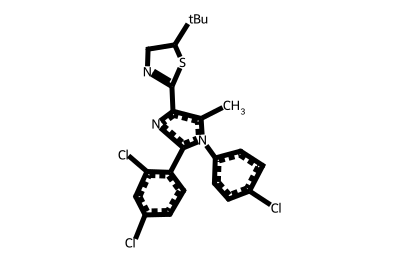 Cc1c(C2=NCC(C(C)(C)C)S2)nc(-c2ccc(Cl)cc2Cl)n1-c1ccc(Cl)cc1